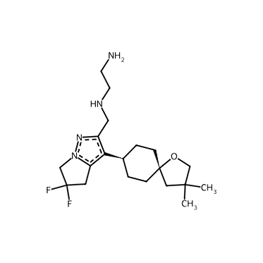 CC1(C)CO[C@]2(CC[C@H](c3c(CNCCN)nn4c3CC(F)(F)C4)CC2)C1